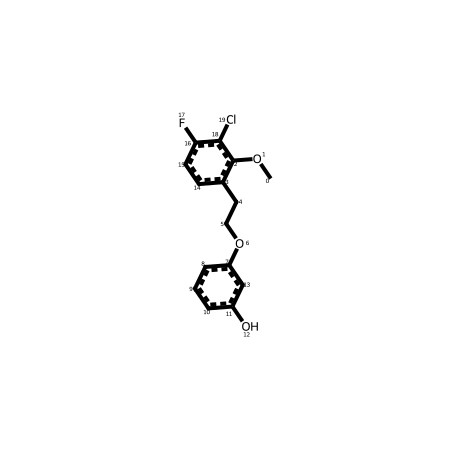 COc1c(CCOc2c[c]cc(O)c2)ccc(F)c1Cl